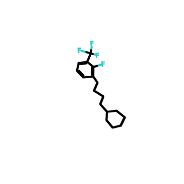 Fc1c(CCCCC2CCCCC2)cccc1C(F)(F)F